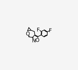 O=Cc1noc(-c2ccc(F)cc2F)c1CC1CC1